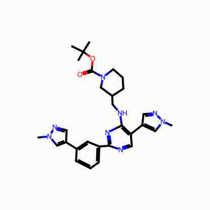 Cn1cc(-c2cccc(-c3ncc(-c4cnn(C)c4)c(NCC4CCCN(C(=O)OC(C)(C)C)C4)n3)c2)cn1